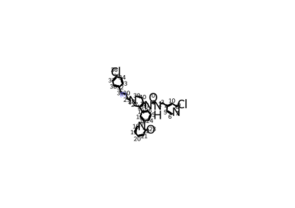 O=C(NCc1ccnc(Cl)c1)n1c2c(c3cc(-n4ccccc4=O)ccc31)CN(C/C=C/c1ccc(Cl)cc1)CC2